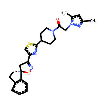 Cc1cc(C)n(CC(=O)N2CCC(c3nc(C4=NO[C@]5(CCc6ccccc65)C4)cs3)CC2)n1